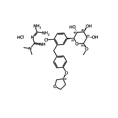 CN(C)C(=N)N=C(N)N.CO[C@H]1O[C@@H](c2ccc(Cl)c(Cc3ccc(O[C@H]4CCOC4)cc3)c2)[C@H](O)[C@@H](O)[C@@H]1O.Cl